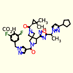 CC(c1nc(C2CN(C(=O)c3cnn(Cc4cc(F)c(C(=O)O)c(F)c4)c3)CC23CN(C(=O)[C@H]2CC2(C)C)C3)no1)n1ccc(C2CCCC2)n1